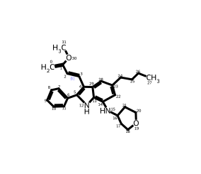 C=C(/C=C/c1c(-c2ccccc2)[nH]c2c(NC3CCOCC3)cc(CCCC)cc12)OC